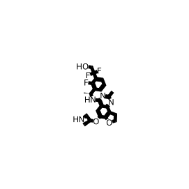 Cc1nc(N[C@H](C)c2cccc(C(F)(F)CO)c2F)c2cc(OC3CNC3)c3c(c2n1)CCO3